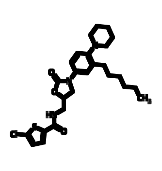 CCCCCCc1cc(N2CC(CNC(=O)c3ccc(Cl)s3)OC2=O)ccc1N1CCCCC1